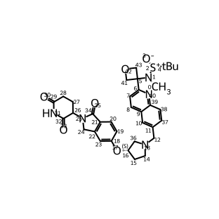 CN([S+]([O-])C(C)(C)C)C1(c2ccc3cc(CN4CC[C@H](Oc5ccc6c(c5)CN(C5CCC(=O)NC5=O)C6=O)C4)ccc3n2)COC1